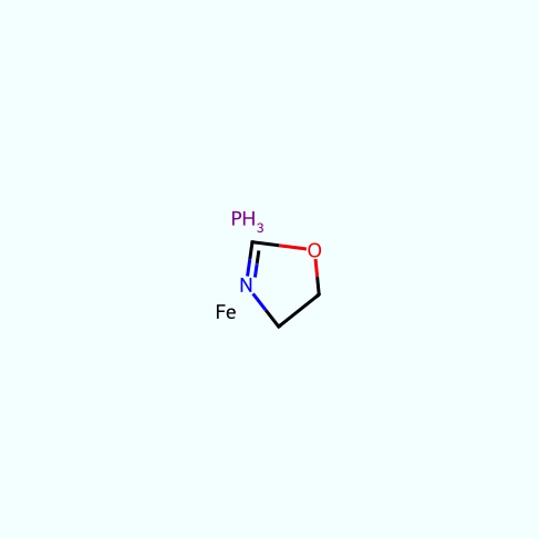 C1=NCCO1.P.[Fe]